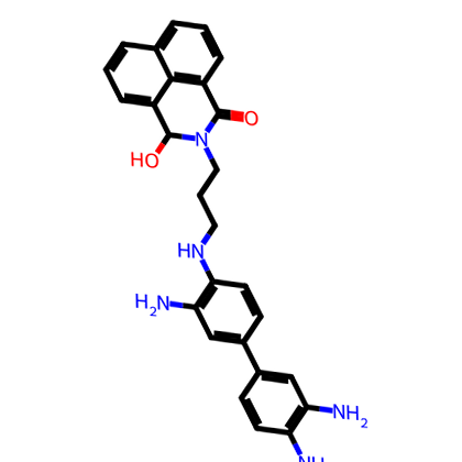 Nc1ccc(-c2ccc(NCCCN3C(=O)c4cccc5cccc(c45)C3O)c(N)c2)cc1N